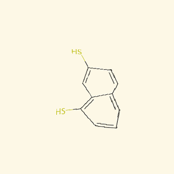 Sc1ccc2cccc(S)c2c1